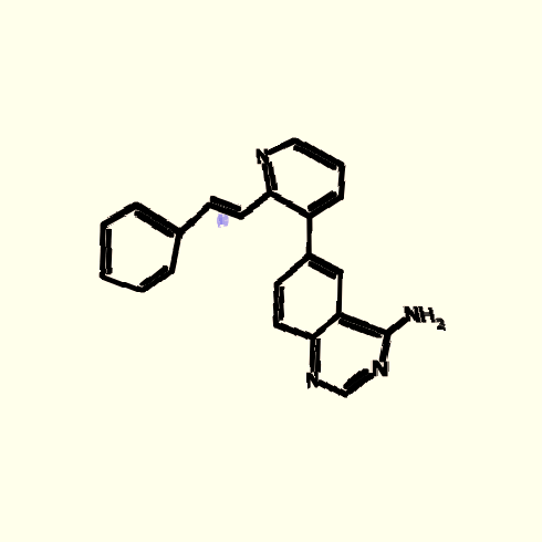 Nc1ncnc2ccc(-c3cccnc3/C=C/c3ccccc3)cc12